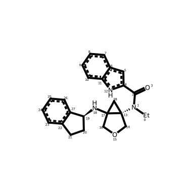 CCN(C(=O)c1cc2ccccc2[nH]1)[C@]12COCC1(N[C@H]1CCc3ccccc31)C2